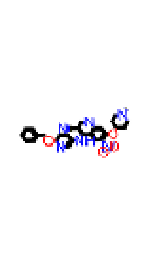 CN1CCC(Oc2cc3ncc(C#N)c(Nc4ccc(OCc5ccccc5)nc4)c3cc2[N+](=O)[O-])CC1